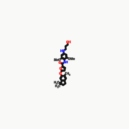 COc1cc(NCCCO)cc(OC)c1NC(=O)c1ccc(Oc2cc3c(cc2C)CCC3(C)C)o1